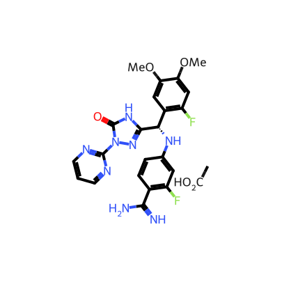 CC(=O)O.COc1cc(F)c([C@H](Nc2ccc(C(=N)N)c(F)c2)c2nn(-c3ncccn3)c(=O)[nH]2)cc1OC